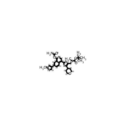 CN(Cc1nc(-c2cnc(OC(N)=O)c3cc(-c4cnn(C)c4)ccc23)sc1C1CCOCC1)C(=O)OC(C)(C)C